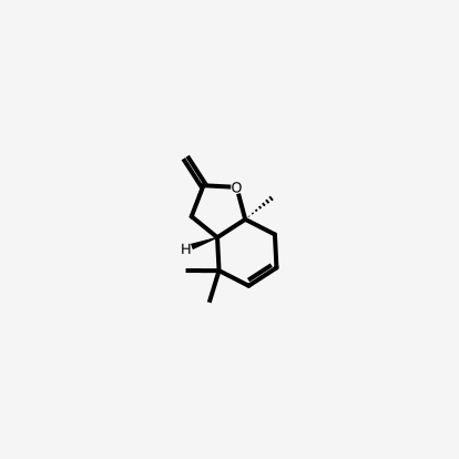 C=C1C[C@H]2C(C)(C)C=CC[C@]2(C)O1